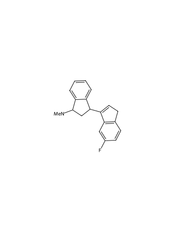 CNC1CC(C2=CCc3ccc(F)cc32)c2ccccc21